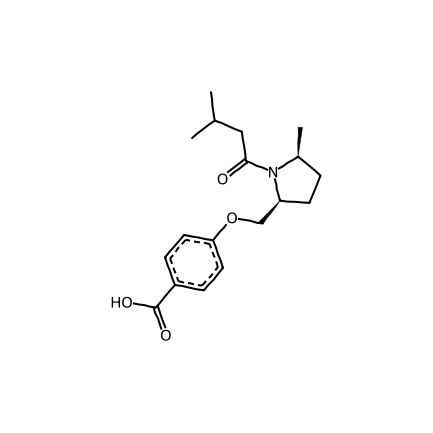 CC(C)CC(=O)N1[C@H](COc2ccc(C(=O)O)cc2)CC[C@@H]1C